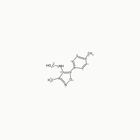 Cc1ccc(-c2onc(C)c2NC(=O)O)cc1